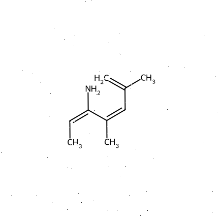 C=C(C)/C=C(C)\C(N)=C/C